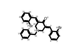 O=C1/C(=C/c2ccccc2Br)CN(Cc2ccccc2)C/C1=C\c1ccccc1Br